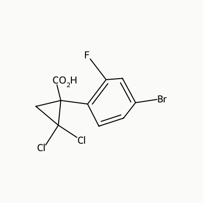 O=C(O)C1(c2ccc(Br)cc2F)CC1(Cl)Cl